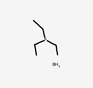 B.CCP(CC)CC